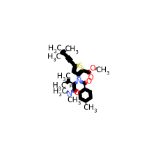 COC(=O)c1sc(C#CC(C)(C)C)cc1N(C(=O)[C@H]1CC[C@H](C)CC1)[C@@H](C(=O)N(C)C)C(C)C